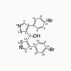 OC(c1sncc1-c1ccc(Br)cc1)c1sncc1-c1ccc(Br)cc1